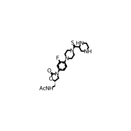 CC(=O)NC[C@H]1CN(c2ccc(N3CCN(C(=S)C4CNCCN4)CC3)c(F)c2)C(=O)O1